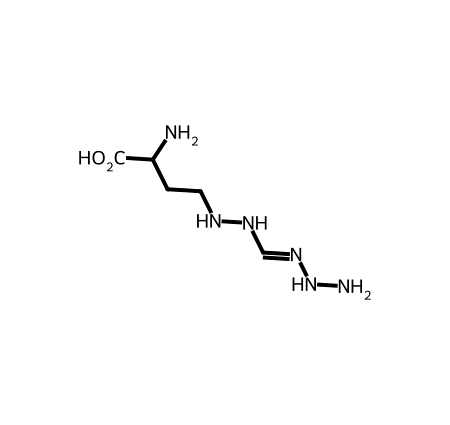 NNN=CNNCCC(N)C(=O)O